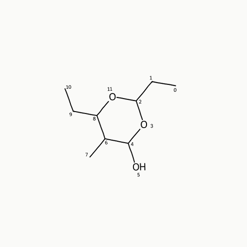 CCC1OC(O)C(C)C(CC)O1